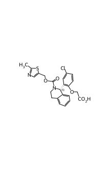 Cc1ncc(COC(=O)N2CCc3ccccc3[C@H]2c2cc(Cl)ccc2OCC(=O)O)s1